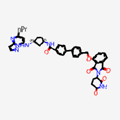 CCCc1cc(N[C@@H]2CC[C@@H](NC(=O)c3ccc(-c4ccc(COc5cccc6c5C(=O)N(C5CCC(=O)NC5=O)C6=O)cc4)cc3)C2)n2nccc2n1